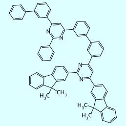 CC1(C)c2ccccc2-c2ccc(-c3cc(-c4cccc(-c5cccc(-c6cc(-c7cccc(-c8ccccc8)c7)nc(-c7ccccc7)n6)c5)c4)nc(-c4ccc5c(c4)C(C)(C)c4ccccc4-5)n3)cc21